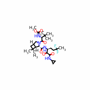 COC(=O)N[C@H](C(=O)N1C[C@@H]2CC(C)(C)[C@@H]2[C@H]1C(=O)N[C@@H](CCC(C)(F)F)C(=O)C(=O)NC1CC1)C(C)(C)C